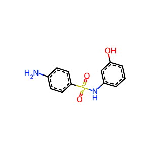 Nc1ccc(S(=O)(=O)Nc2cccc(O)c2)cc1